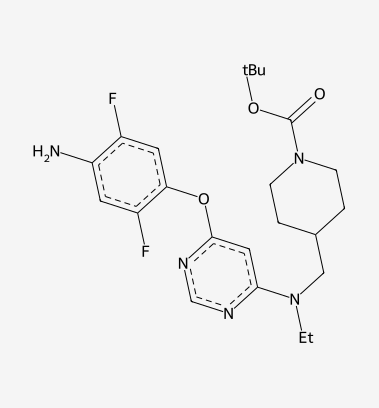 CCN(CC1CCN(C(=O)OC(C)(C)C)CC1)c1cc(Oc2cc(F)c(N)cc2F)ncn1